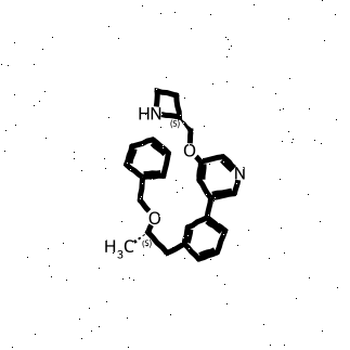 C[C@@H](Cc1cccc(-c2cncc(OC[C@@H]3CCN3)c2)c1)OCc1ccccc1